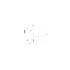 Fc1ccc(-c2ccccn2)c(C(F)(F)F)c1F.Fc1ccc(-c2ccccn2)c(C(F)(F)F)c1F.[Ir+3]